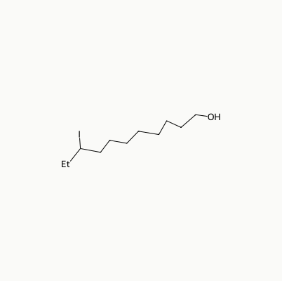 CCC(I)CCCCCCCCO